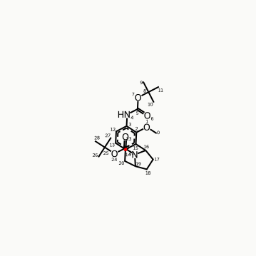 COc1c(NC(=O)OC(C)(C)C)ccc2c1C1CCC(C2)N1C(=O)OC(C)(C)C